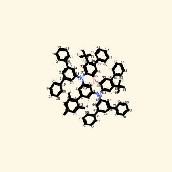 Cc1cc(C)c(-c2cc3c4c(c2)N(c2cc(-c5ccccc5)cc(-c5ccccc5)c2)c2cc(C(C)(C)C)c(-c5ccccc5)cc2B4c2cc(-c4ccccc4)c(C(C)(C)C)cc2N3c2cc(-c3ccccc3)cc(-c3ccccc3)c2)c(C)c1